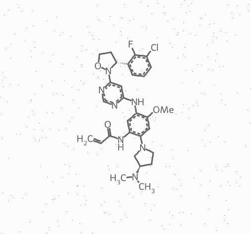 C=CC(=O)Nc1cc(Nc2cc(N3OCC[C@@H]3c3cccc(Cl)c3F)ncn2)c(OC)cc1N1CC[C@@H](N(C)C)C1